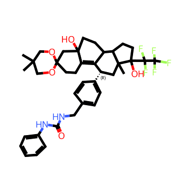 CC1(C)COC2(CCC3=C4C(CCC3(O)C2)C2CCC(O)(C(F)(F)C(F)(F)F)C2(C)C[C@@H]4c2ccc(CNC(=O)Nc3ccccc3)cc2)OC1